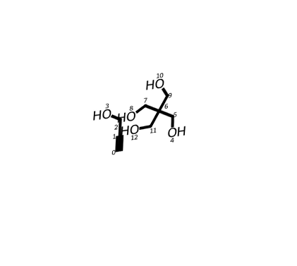 C#CCO.OCC(CO)(CO)CO